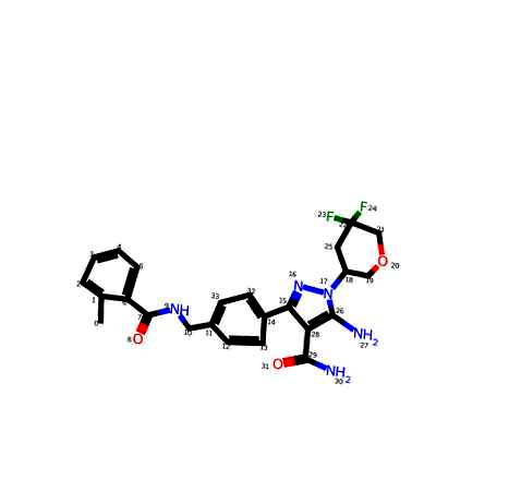 Cc1ccccc1C(=O)NCc1ccc(-c2nn(C3COCC(F)(F)C3)c(N)c2C(N)=O)cc1